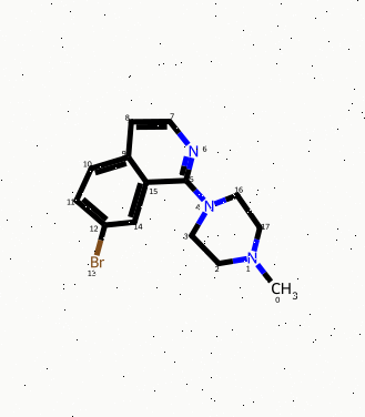 CN1CCN(c2nccc3ccc(Br)cc23)CC1